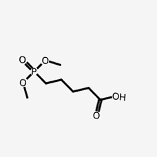 COP(=O)(CCCCC(=O)O)OC